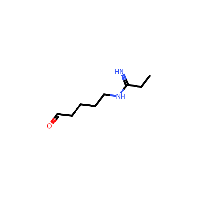 CCC(=N)NCCCCC=O